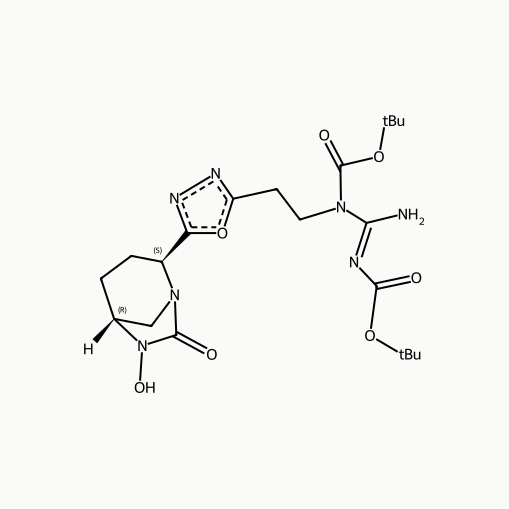 CC(C)(C)OC(=O)N=C(N)N(CCc1nnc([C@@H]2CC[C@@H]3CN2C(=O)N3O)o1)C(=O)OC(C)(C)C